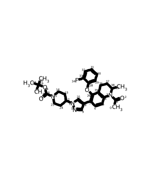 CC(=O)N1c2ccc(-c3cnn(C4CCN(C(=O)OC(C)(C)C)CC4)c3)c(Oc3ccccc3F)c2CCC1C